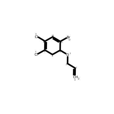 C=CCOC1CC(Cl)=C(Cl)C=C1Br